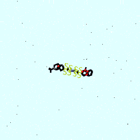 CC(C)C1CC2C=CC1c1cc3c(cc12)SC1=C(S/C(=C2\SC4=C(S2)Sc2cc5c(cc2S4)C2C=CC5C(C(C)C)C2)S1)S3